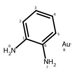 Nc1ccccc1N.[Au]